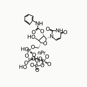 CCCOP(=O)(O)OP(=O)(O)OP(=O)(OO)OP(=O)(O)OC[C@H]1O[C@@H](n2ccc(=O)[nH]c2=O)[C@@H](OC(=O)Nc2ccccc2)C1O